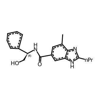 CCCc1nc2c(C)cc(C(=O)N[C@@H](CO)c3ccccc3)cc2[nH]1